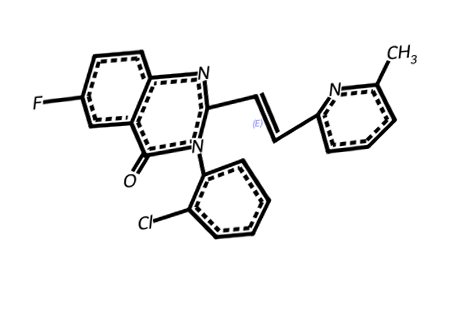 Cc1cccc(/C=C/c2nc3ccc(F)cc3c(=O)n2-c2ccccc2Cl)n1